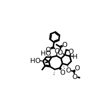 COC(=O)O[C@H]1C[C@H]2OC[C@@]2(OC(C)=O)C2[C@H](OC(=O)c3ccccc3)[C@]3(O)C[C@H](O)C(C)=C([C@@H](C)C(=O)[C@@]21C)C3(C)C